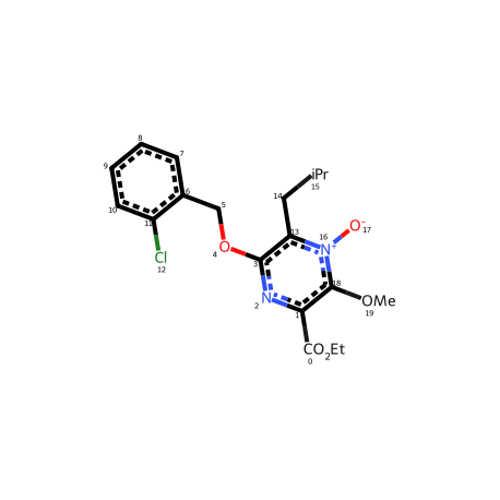 CCOC(=O)c1nc(OCc2ccccc2Cl)c(CC(C)C)[n+]([O-])c1OC